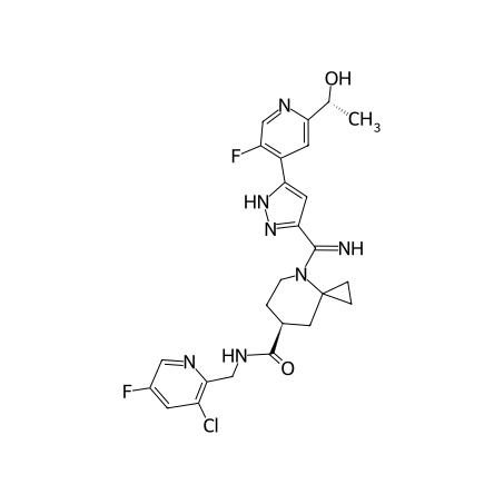 C[C@@H](O)c1cc(-c2cc(C(=N)N3CC[C@H](C(=O)NCc4ncc(F)cc4Cl)CC34CC4)n[nH]2)c(F)cn1